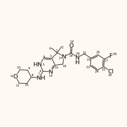 CC1(C)C2=CNC(NC3CCOCC3)N=C2CN1C(=O)NCc1ccc(Cl)c(F)c1